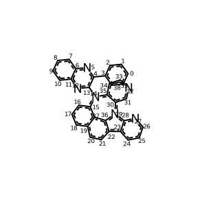 c1ccc(-c2nc3ccccc3nc2-n2c3cccc4ccc5c6cccnc6n(c6cnccc62)c5c43)cc1